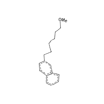 COCCCCCCc1ccc2ccccc2c1